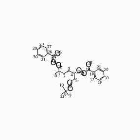 CC(CCC(COOC(C)(C)C)OOC(=O)c1ccccc1)OOC(=O)c1ccccc1